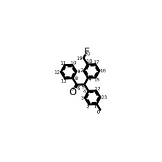 Cc1ccc(C(C(=O)c2ccccc2)c2cccc(CF)c2)cc1